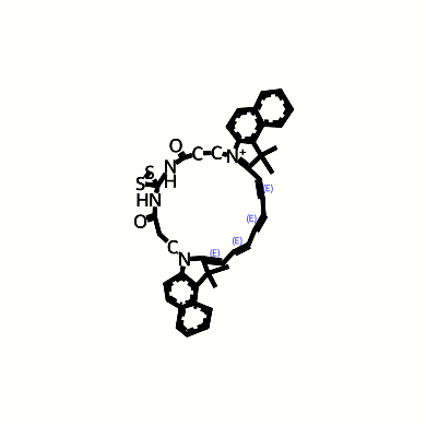 CC1(C)C2=[N+](CCC(=O)NC3(NC(=O)CCN4/C(=C/C=C/C=C/C=C/2)C(C)(C)c2c4ccc4ccccc24)SS3)c2ccc3ccccc3c21